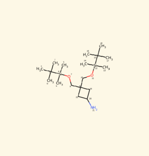 CC(C)(C)[Si](C)(C)OCC1(CO[Si](C)(C)C(C)(C)C)CC(N)C1